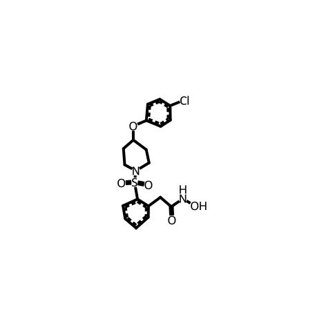 O=C(Cc1ccccc1S(=O)(=O)N1CCC(Oc2ccc(Cl)cc2)CC1)NO